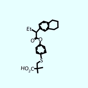 CCC(C(=O)Oc1ccc(SCC(C)(C)C(=O)O)cc1)c1ccc2c(c1)CCCC2